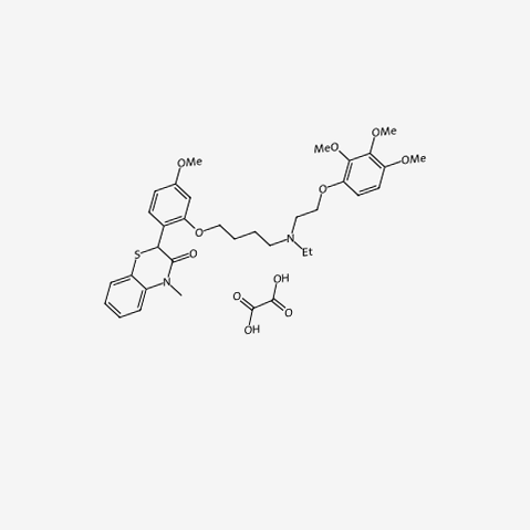 CCN(CCCCOc1cc(OC)ccc1C1Sc2ccccc2N(C)C1=O)CCOc1ccc(OC)c(OC)c1OC.O=C(O)C(=O)O